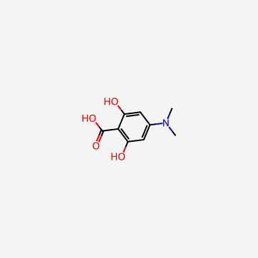 CN(C)c1cc(O)c(C(=O)O)c(O)c1